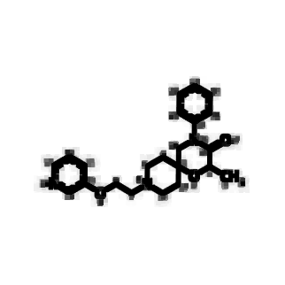 CC1OC2(CCN(CCOc3cccnc3)CC2)CN(c2ccccc2)C1=O